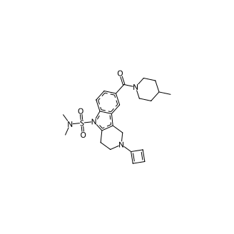 CC1CCN(C(=O)c2ccc3c(c2)c2c(n3S(=O)(=O)N(C)C)CCN(C3=CC=C3)C2)CC1